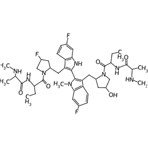 CCC(NC(=O)C(C)NC)C(=O)N1CC(O)CC1Cc1c(-c2[nH]c3cc(F)ccc3c2CC2CC(F)CN2C(=O)C(CC)NC(=O)C(C)NC)n(C)c2cc(F)ccc12